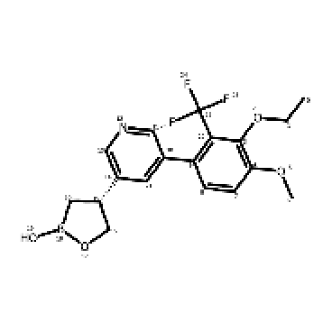 CCOc1c(OC)ccc(-c2cncc([C@@H]3COB(O)C3)c2)c1C(F)(F)F